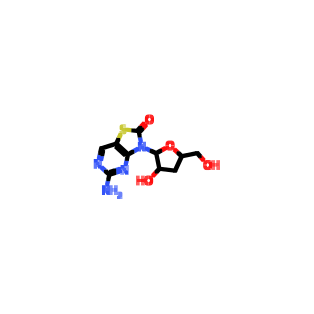 Nc1ncc2sc(=O)n(C3OC(CO)CC3O)c2n1